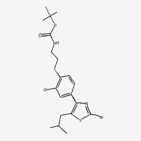 CC(C)Cc1sc(Br)nc1-c1ccc(CCCNC(=O)OC(C)(C)C)c(Cl)c1